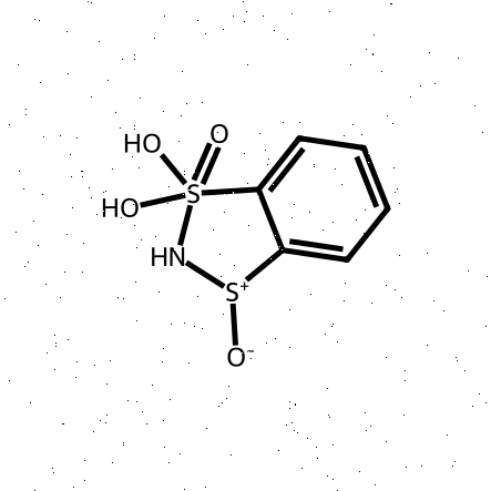 O=S1(O)(O)N[S+]([O-])c2ccccc21